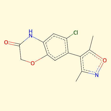 Cc1noc(C)c1-c1cc2c(cc1Cl)NC(=O)CO2